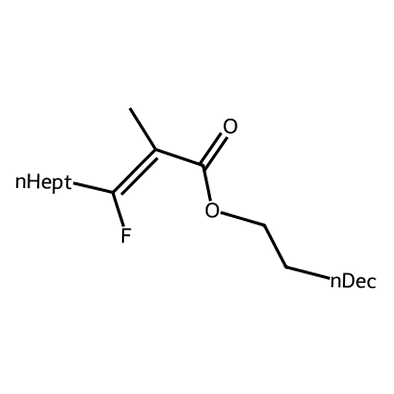 CCCCCCCCCCCCOC(=O)C(C)=C(F)CCCCCCC